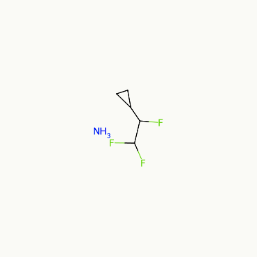 FC(F)C(F)C1CC1.N